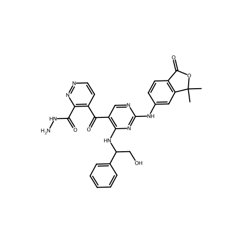 CC1(C)OC(=O)c2ccc(Nc3ncc(C(=O)c4ccnnc4C(=O)NN)c(NC(CO)c4ccccc4)n3)cc21